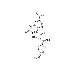 CC(C)Oc1ccc(C(=N)NC(=S)Nc2ncc(C(F)F)cc2N(C)C(=O)OC(C)(C)C)nc1